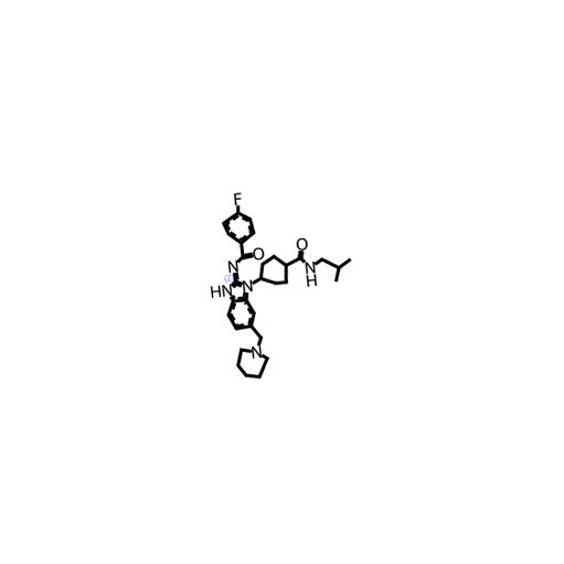 CC(C)CNC(=O)C1CCC(n2/c(=N\C(=O)c3ccc(F)cc3)[nH]c3ccc(CN4CCCCC4)cc32)CC1